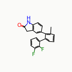 Cc1cccc(-c2cccc(F)c2F)c1-c1ccc2c(c1)CC(=O)N2